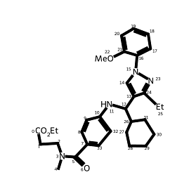 CCOC(=O)CCN(C)C(=O)c1ccc(NC(c2cn(-c3ccccc3OC)nc2CC)C2CCCCC2)cc1